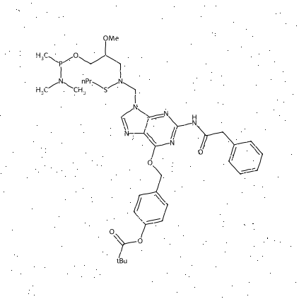 CCCSN(CC(COP(C)N(C)C)OC)Cn1cnc2c(OCc3ccc(OC(=O)C(C)(C)C)cc3)nc(NC(=O)Cc3ccccc3)nc21